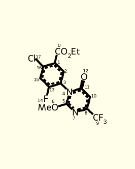 CCOC(=O)c1cc(-n2c(OC)nc(C(F)(F)F)cc2=O)c(F)cc1Cl